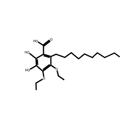 CCCCCCCCCCc1c(OCC)c(OCC)c(O)c(O)c1C(=O)O